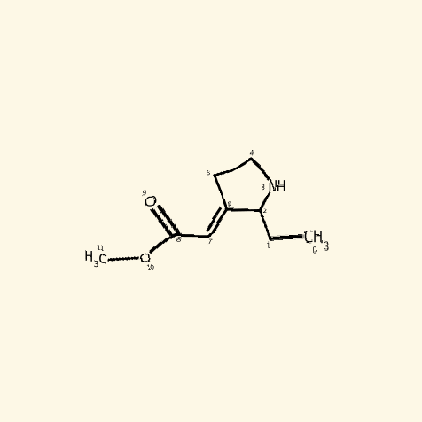 CCC1NCCC1=CC(=O)OC